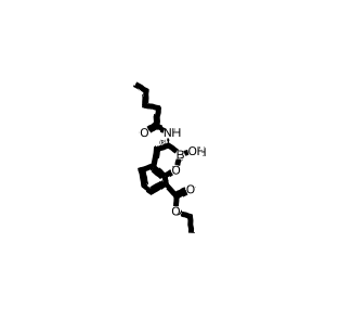 CCCCC(=O)N[C@H]1Cc2cccc(C(=O)OCC)c2OB1O